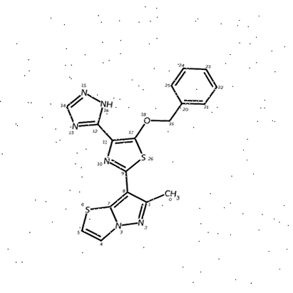 Cc1nn2ccsc2c1-c1nc(-c2ncn[nH]2)c(OCc2ccccc2)s1